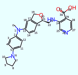 CN(c1ccc(N2CCCC2)cc1)c1ccc2c(c1)CO[C@H]2CNc1cnccc1C(=O)O